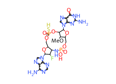 COC1C2COP(=O)(O)NC3C(CO[P@](=O)(S)OC1C(n1cnc4c(=O)[nH]c(N)nc41)O2)OC(n1cnc2c(N)ncnc21)C3F